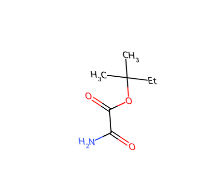 CCC(C)(C)OC(=O)C(N)=O